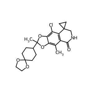 Cc1c2c(c(Cl)c3c1C(=O)NCC31CC1)OC(C)(C1CCC3(CC1)OCCO3)O2